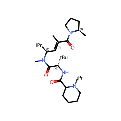 C/C(=C\[C@H](C(C)C)N(C)C(=O)[C@@H](NC(=O)C1CCCCN1C(C)C)C(C)(C)C)C(=O)N1CCC[C@H]1C